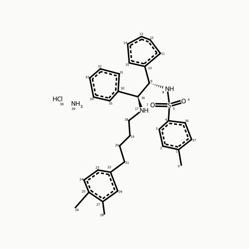 Cc1ccc(S(=O)(=O)N[C@@H](c2ccccc2)[C@@H](NCCCCc2ccc(C)c(C)c2)c2ccccc2)cc1.Cl.N